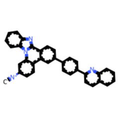 [C-]#[N+]c1ccc2c3cc(-c4ccc(-c5ccc6ccccc6n5)cc4)ccc3c3nc4ccccc4n3c2c1